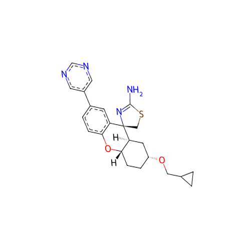 NC1=N[C@@]2(CS1)c1cc(-c3cncnc3)ccc1O[C@H]1CC[C@@H](OCC3CC3)C[C@@H]12